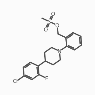 CS(=O)(=O)OCc1ccccc1N1CCC(c2ccc(Cl)cc2F)CC1